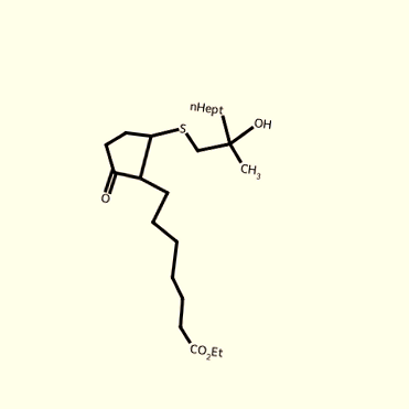 CCCCCCCC(C)(O)CSC1CCC(=O)C1CCCCCCC(=O)OCC